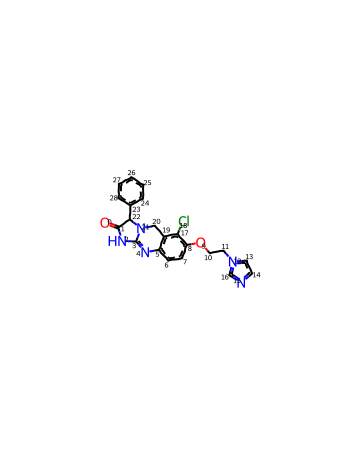 O=C1NC2=Nc3ccc(OCCn4ccnc4)c(Cl)c3CN2C1c1ccccc1